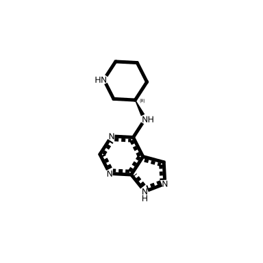 c1nc(N[C@@H]2CCCNC2)c2cn[nH]c2n1